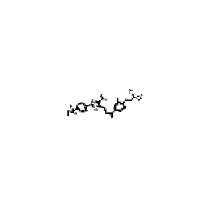 C=C(CCc1sc(-c2ccc(C(F)(F)F)cc2)nc1C(C)C)c1ccc(CCC(=O)OC)c(C)c1